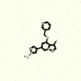 Cn1cc(-c2cc(OCc3cccnc3)c3c(I)cnn3c2)cn1